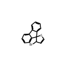 BrC1C=CSC12c1ccccc1-c1ccccc12